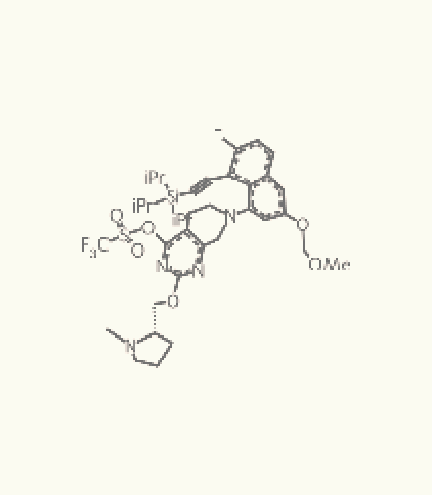 COCOc1cc(N2CCc3c(nc(OC[C@@H]4CCCN4C)nc3OS(=O)(=O)C(F)(F)F)C2)c2c(C#C[Si](C(C)C)(C(C)C)C(C)C)c(F)ccc2c1